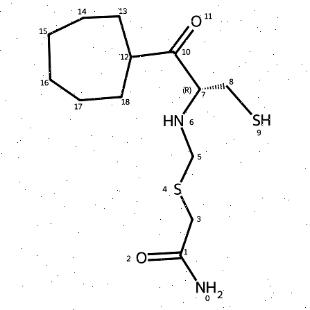 NC(=O)CSCN[C@@H](CS)C(=O)C1CCCCCC1